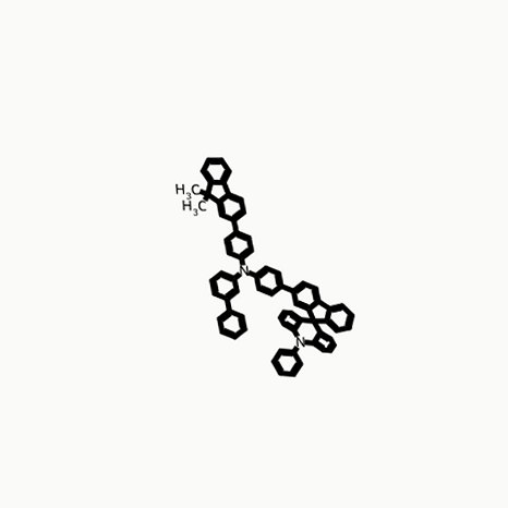 CC1(C)c2ccccc2-c2ccc(-c3ccc(N(c4ccc(-c5ccc6c(c5)C5(c7ccccc7-6)c6ccccc6N(c6ccccc6)c6ccccc65)cc4)c4cccc(-c5ccccc5)c4)cc3)cc21